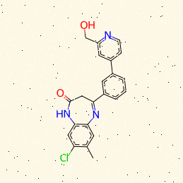 Cc1cc2c(cc1Cl)NC(=O)CC(c1cccc(-c3ccnc(CO)c3)c1)=N2